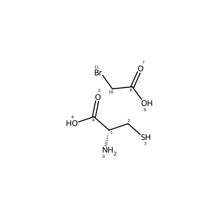 N[C@@H](CS)C(=O)O.O=C(O)CBr